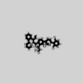 C=CC1c2ccccc2-c2cccc[n+]2C1C1N/C(=C\C)c2c1ccc1c2oc2nc(-c3c(C)cccc3C)ccc21